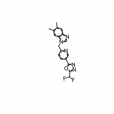 Cc1cc2ncn(Cc3ccc(-c4nnc(C(F)F)o4)cn3)c2cc1C